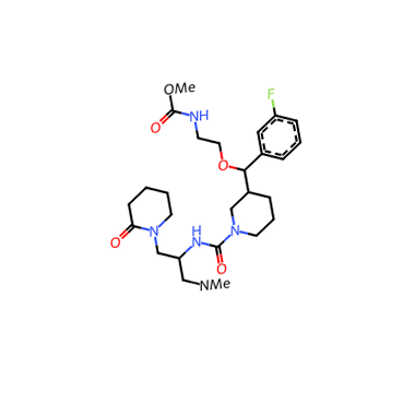 CNCC(CN1CCCCC1=O)NC(=O)N1CCCC(C(OCCNC(=O)OC)c2cccc(F)c2)C1